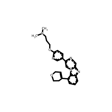 CN(C)CCCOc1ccc(-c2cn3c(cn2)nc2cccc(C4=CCOCC4)c23)cn1